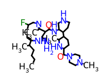 CCCCC(C)/C1=C/CC(F)C/N=C(\C)C(C(=O)NC2CNCCC2C2CCC(C(=O)N3CCN(C)CC3)NC2C)C(N)N1